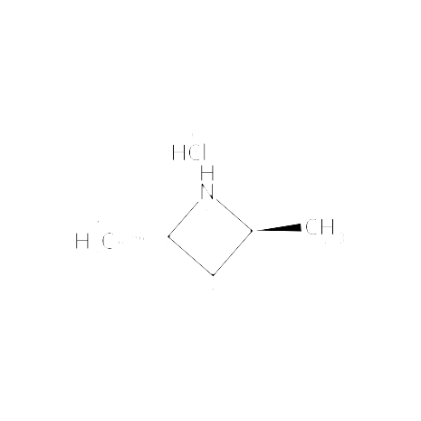 C[C@H]1C[C@H](C)N1.Cl